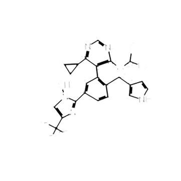 Cn1cc(C(F)(F)F)nc1-c1ccc(Cc2cc[nH]c2)c(-c2c(OC(F)F)ncnc2C2CC2)c1